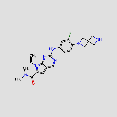 C=Cn1c(C(=O)N(C)C)cc2cnc(Nc3ccc(N4CC5(CNC5)C4)c(F)c3)nc21